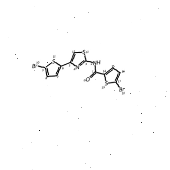 O=C(Nc1nc(-c2ccc(Br)s2)cs1)c1ccc(Br)s1